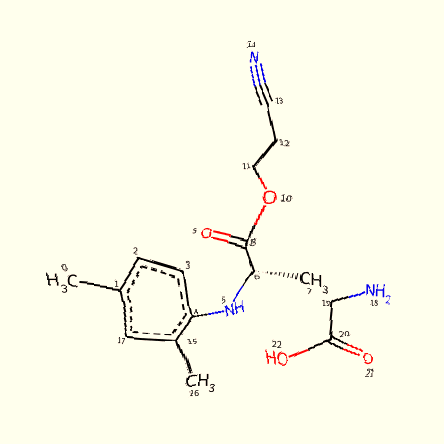 Cc1ccc(N[C@@H](C)C(=O)OCCC#N)c(C)c1.NCC(=O)O